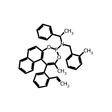 C=Cc1ccccc1-c1c(C)op(N(Cc2ccccc2C)[C@H](C)c2ccccc2)oc2ccc3ccccc3c12